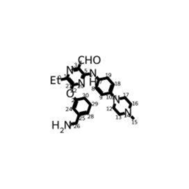 CCc1nc(C=O)c(NC2C=CC(N3CCN(C)CC3)=CC2)nc1OC1=CC(CN)=CCC1